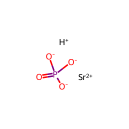 O=P([O-])([O-])[O-].[H+].[Sr+2]